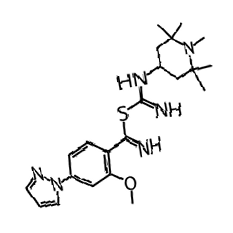 COc1cc(-n2cccn2)ccc1C(=N)SC(=N)NC1CC(C)(C)N(C)C(C)(C)C1